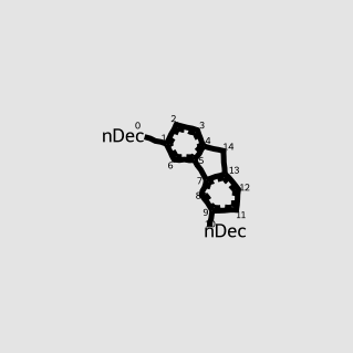 CCCCCCCCCCc1ccc2c(c1)-c1cc(CCCCCCCCCC)ccc1C2